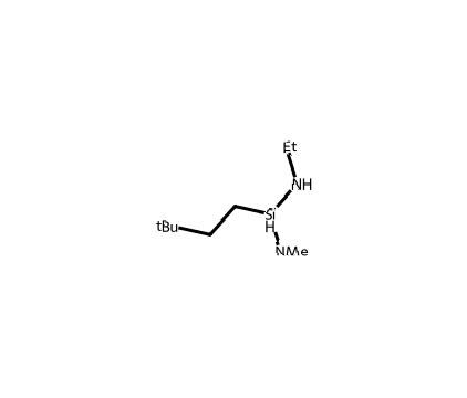 CCN[SiH](CCC(C)(C)C)NC